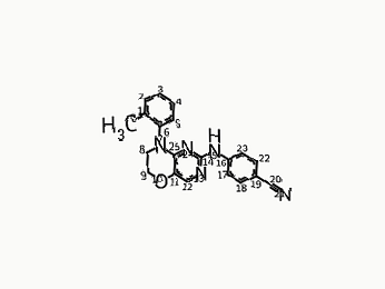 Cc1ccccc1N1CCOc2cnc(Nc3ccc(C#N)cc3)nc21